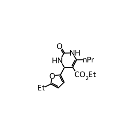 CCCC1=C(C(=O)OCC)C(c2ccc(CC)o2)NC(=O)N1